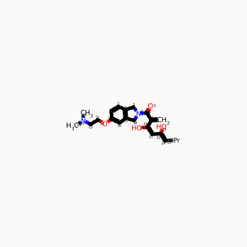 C=C(C(=O)N1Cc2ccc(OCCN(C)C)cc2C1)/C(O)=C\C(O)=C\C(C)C